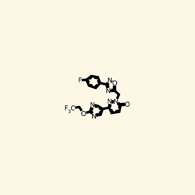 O=c1ccc(-c2cnc(OCC(F)(F)F)nc2)nn1Cc1nc(-c2ccc(F)cc2)no1